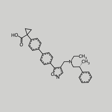 CCN(Cc1cnoc1-c1ccc(-c2ccc(C3(C(=O)O)CC3)cc2)cc1)C[C@H](C)c1ccccc1